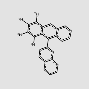 [2H]c1c([2H])c([2H])c2c(-c3ccc4ccccc4c3)c3ccccc3cc2c1[2H]